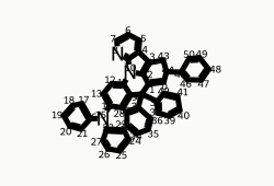 C1=C2c3c(c4cccnc4n3-c3ccc(N(c4ccccc4)c4ccccc4)cc3C2(c2ccccc2)c2ccccc2)CC1c1ccccc1